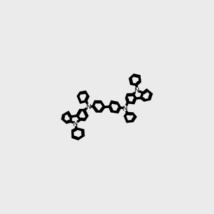 C1=CCCC(N(c2ccc(-c3ccc(N(C4=CC=CCC4)c4ccc5c(c4)c4ccccc4n5-c4ccccc4)cc3)cc2)c2ccc3c(c2)c2ccccc2n3-c2ccccc2)=C1